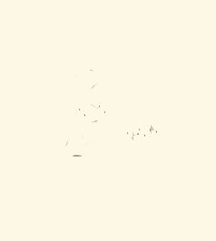 COc1ccc(-c2[nH]c(-c3ccccc3)nc2CCN=[N+]=[N-])cc1